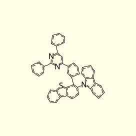 c1ccc(-c2cc(-c3cccc(-c4c(-n5c6ccccc6c6ccccc65)ccc5c4sc4ccccc45)c3)nc(-c3ccccc3)n2)cc1